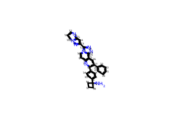 NC1(c2ccc(-c3nc4ccn5c(-c6cc7ncccn7n6)nnc5c4cc3-c3ccccc3)cc2)CCC1